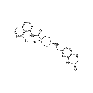 CCc1nccc2cccc(NC(=O)[C@]3(O)CC[C@@H](NCc4ccc5c(n4)NC(=O)CS5)CC3)c12